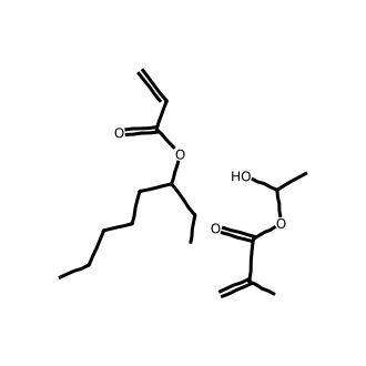 C=C(C)C(=O)OC(C)O.C=CC(=O)OC(CC)CCCCC